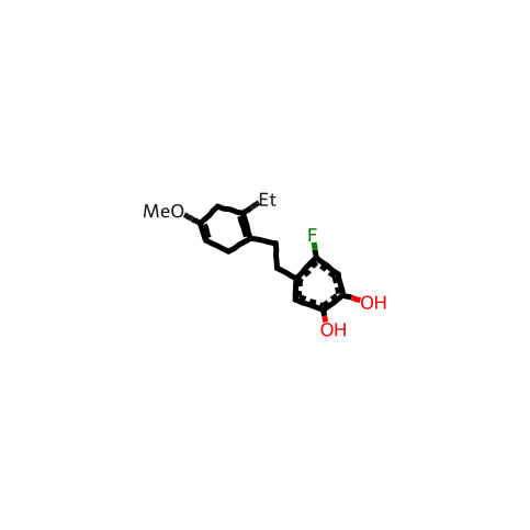 CCC1=C(CCc2cc(O)c(O)cc2F)CC=C(OC)C1